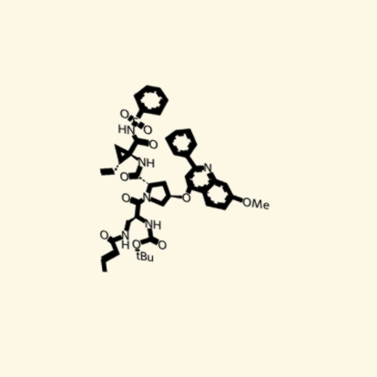 C=C[C@@H]1C[C@]1(NC(=O)[C@@H]1C[C@@H](Oc2cc(-c3ccccc3)nc3cc(OC)ccc23)CN1C(=O)[C@H](CNC(=O)/C=C/C)NC(=O)OC(C)(C)C)C(=O)NS(=O)(=O)c1ccccc1